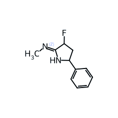 C/N=C1\NC(c2ccccc2)CC1F